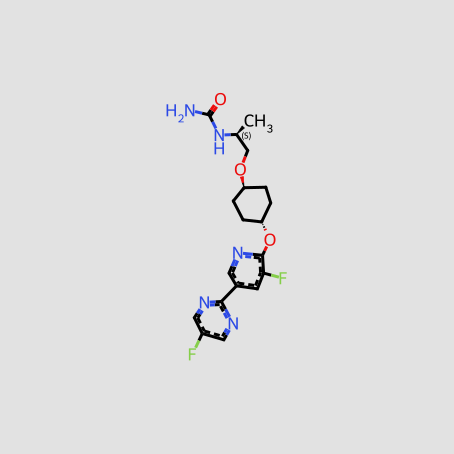 C[C@@H](CO[C@H]1CC[C@H](Oc2ncc(-c3ncc(F)cn3)cc2F)CC1)NC(N)=O